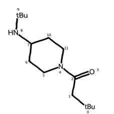 CC(C)(C)CC(=O)N1CCC(NC(C)(C)C)CC1